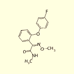 CNC(=O)C(=NOC)c1ccccc1Oc1ccc(F)cc1